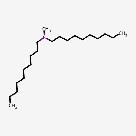 CCCCCCCCCCP(C)CCCCCCCCCC